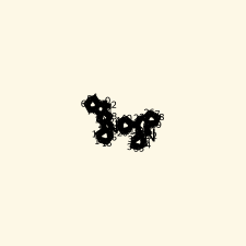 CC1(C)c2ccccc2-c2cc3c4ccccc4n(-c4ccc(-c5cc6ccccc6c6nc7ccccc7n56)cc4)c3cc21